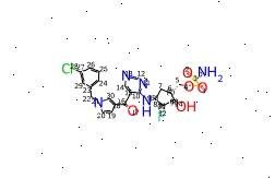 NS(=O)(=O)OC[C@H]1C[C@@H](Nc2ncncc2C(=O)c2ccn(Cc3cccc(Cl)c3)c2)[C@@H](F)[C@@H]1O